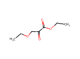 CCOCC(=O)C(=O)OCC